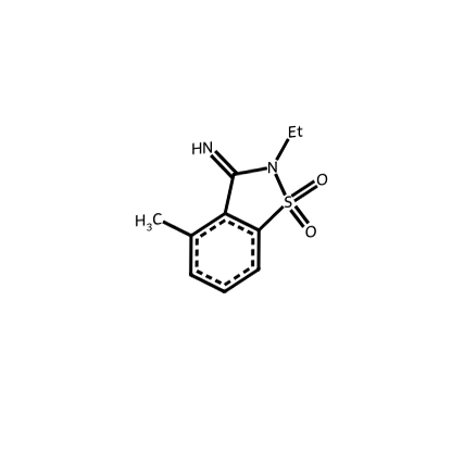 CCN1C(=N)c2c(C)cccc2S1(=O)=O